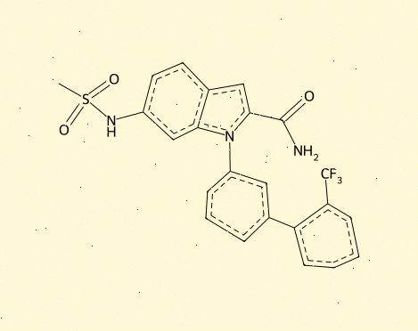 CS(=O)(=O)Nc1ccc2cc(C(N)=O)n(-c3cccc(-c4ccccc4C(F)(F)F)c3)c2c1